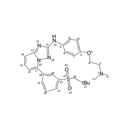 CN(C)CCOc1ccc(Nc2nc3cccc(-c4cccc(S(=O)(=O)CC(C)(C)C)c4)n3n2)cc1